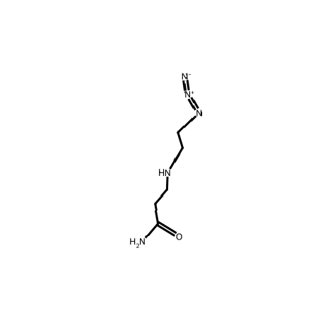 [N-]=[N+]=NCCNCCC(N)=O